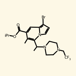 Cc1c(C(=O)OC(C)C)cc2c(Br)ccn2c1C(C)N1CCN(CC(F)(F)F)CC1